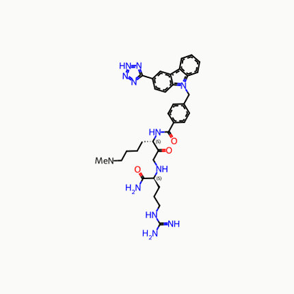 CNCCCC[C@H](NC(=O)c1ccc(Cn2c3ccccc3c3cc(-c4nn[nH]n4)ccc32)cc1)C(=O)CN[C@@H](CCCNC(=N)N)C(N)=O